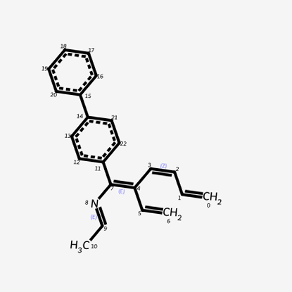 C=C\C=C/C(C=C)=C(/N=C/C)c1ccc(-c2ccccc2)cc1